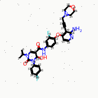 CC(C)N1C=C(C(=O)Nc2ccc(Oc3ccnc(N)c3C#CCN3CCOCC3)c(F)c2)C(O)N(c2ccc(F)cc2)C1=O